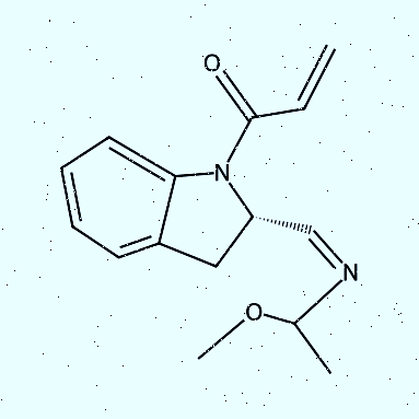 C=CC(=O)N1c2ccccc2C[C@H]1/C=N\C(C)OC